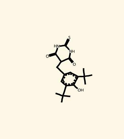 CC(C)(C)c1cc(CC2C(=O)NC(=S)NC2=O)cc(C(C)(C)C)c1O